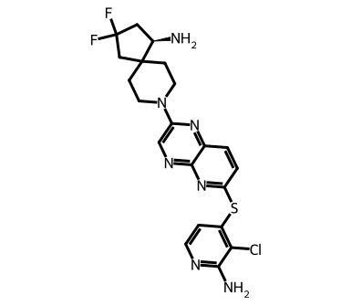 Nc1nccc(Sc2ccc3nc(N4CCC5(CC4)CC(F)(F)C[C@H]5N)cnc3n2)c1Cl